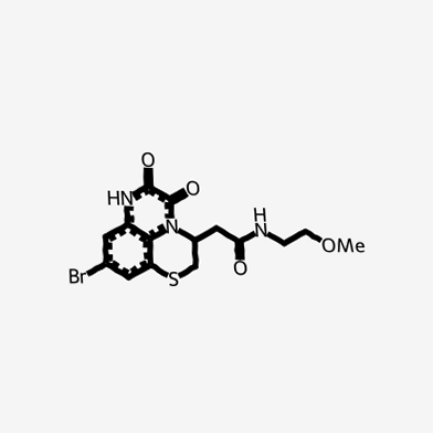 COCCNC(=O)CC1CSc2cc(Br)cc3[nH]c(=O)c(=O)n1c23